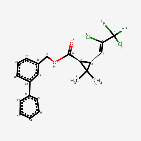 CC1(C)[C@@H](C=C(Cl)C(F)(F)Cl)[C@@H]1C(=O)OCc1cccc(-c2ccccc2)c1